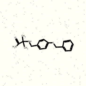 CC(C)(NCc1ccc(SCc2ccccc2)cc1)C(N)=O